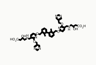 Cc1c(COc2ccc(CNCC(O)CC(=O)O)c(OCc3cncnc3)n2)cccc1-c1cccc(COc2ccc(CNCC(O)CC(=O)O)c(OCc3cncnc3)n2)c1C